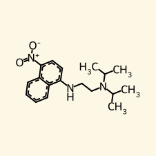 CC(C)N(CCNc1ccc([N+](=O)[O-])c2ccccc12)C(C)C